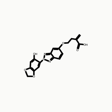 C=C(CCOc1ccc2nn(-c3cc4c(cc3O)OCO4)nc2c1)C(=O)O